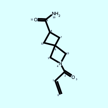 C=CC(=O)N1CC2(CC(C(N)=O)C2)C1